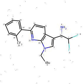 CC(C)(C)Cn1cc([C@H](N)C(F)F)c2ccc(-c3ccccc3C(F)(F)F)nc21